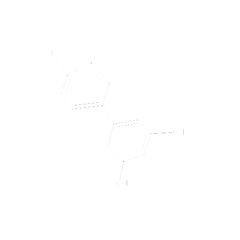 Cc1cc(C)cc(-c2ccc(I)cc2)c1